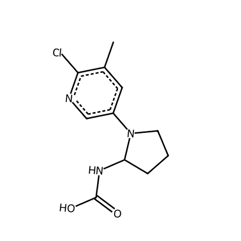 Cc1cc(N2CCCC2NC(=O)O)cnc1Cl